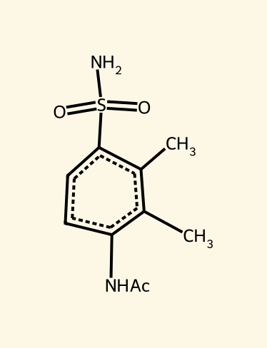 CC(=O)Nc1ccc(S(N)(=O)=O)c(C)c1C